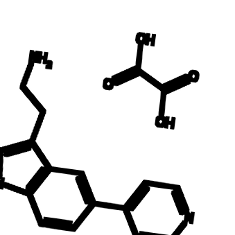 NCCc1c[nH]c2ccc(-c3ccncc3)cc12.O=C(O)C(=O)O